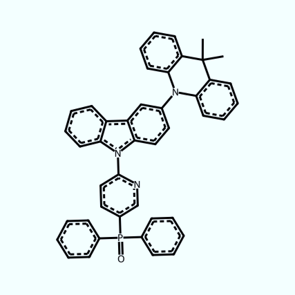 CC1(C)c2ccccc2N(c2ccc3c(c2)c2ccccc2n3-c2ccc(P(=O)(c3ccccc3)c3ccccc3)cn2)c2ccccc21